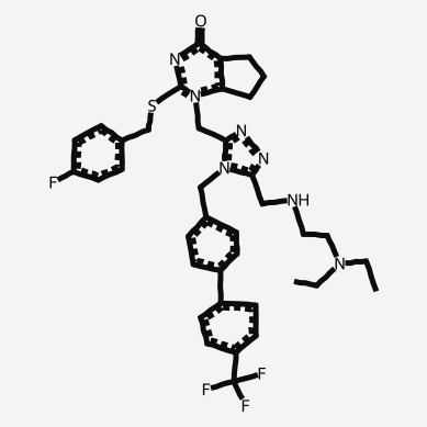 CCN(CC)CCNCc1nnc(Cn2c(SCc3ccc(F)cc3)nc(=O)c3c2CCC3)n1Cc1ccc(-c2ccc(C(F)(F)F)cc2)cc1